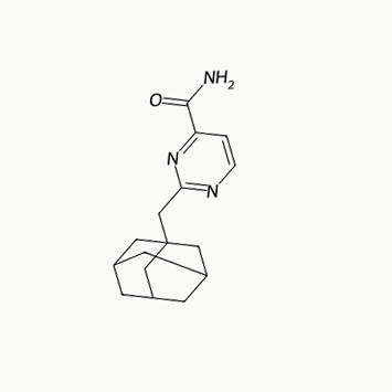 NC(=O)c1ccnc(CC23CC4CC(CC(C4)C2)C3)n1